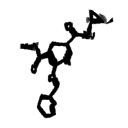 CNC(=O)c1cc(C(=O)N[C@H]2C[C@@H]2C)cnc1OCc1ccccc1